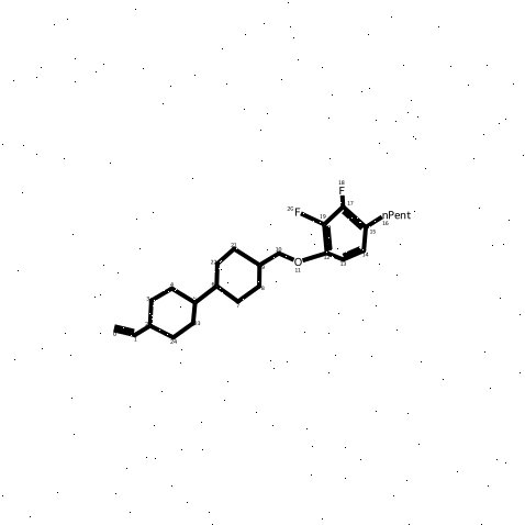 C=CC1CCC(C2CCC(COc3ccc(CCCCC)c(F)c3F)CC2)CC1